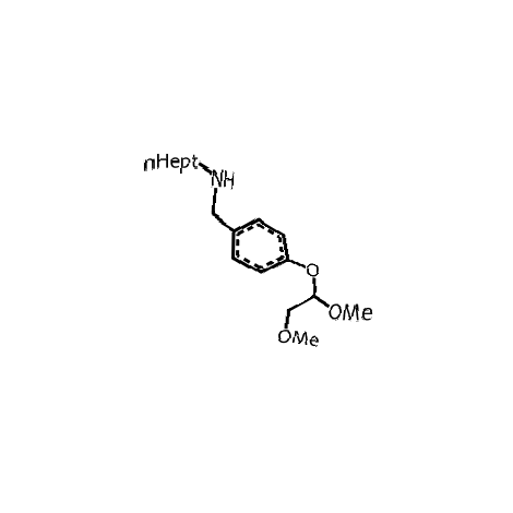 CCCCCCCNCc1ccc(OC(COC)OC)cc1